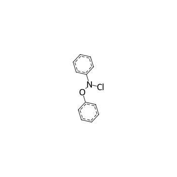 ClN(Oc1ccccc1)c1ccccc1